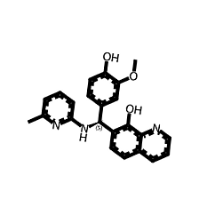 COc1cc([C@H](Nc2cccc(C)n2)c2ccc3cccnc3c2O)ccc1O